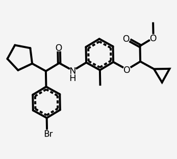 COC(=O)C(Oc1cccc(NC(=O)C(c2ccc(Br)cc2)C2CCCC2)c1C)C1CC1